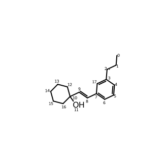 CC[CH]c1cccc(C=CC2(O)CCCCC2)c1